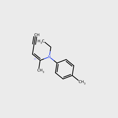 C#C/C=C(/C)N(CC)c1ccc(C)cc1